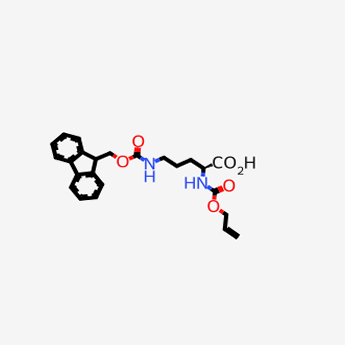 C=CCOC(=O)N[C@@H](CCCNC(=O)OCC1c2ccccc2-c2ccccc21)C(=O)O